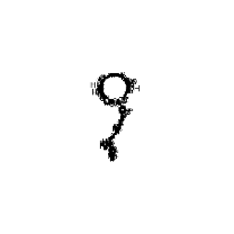 CO[C@H]1C[C@]2(O)CC[C@@H](C)[C@@](O)(O2)C(=O)C(=O)N2CCCC[C@H]2C(=O)O[C@H]([C@H](C)C[C@@H]2CC[C@@H](OCCOCc3cn(CCCCn4nc(-c5ccc6oc(C)nc6c5)c5c(C)ncnc54)nn3)[C@H](OC)C2)CC(=O)[C@H](C)/C=C(\C)[C@@H](O)[C@@H](OI=S)C(=O)[C@H](C)C[C@H](C)/C=C/C=C/C=C/1C